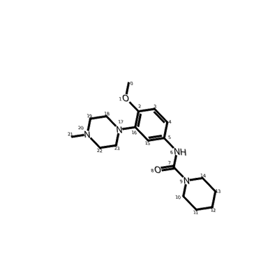 COc1ccc(NC(=O)N2CCCCC2)cc1N1CCN(C)CC1